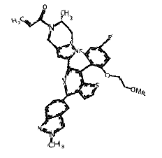 C=CC(=O)N1Cc2cc(-c3nc(-c4ccc5nn(C)cc5c4)c4ccsc4c3-c3c(F)cc(F)cc3OCCOC)nn2C[C@H]1C